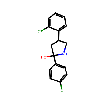 OC1(c2ccc(Cl)cc2)CC(c2ccccc2Cl)CN1